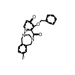 O=C1c2c(OCc3ccccc3)c(=O)ccn2N2Cc3ccc(F)cc3CN1C2